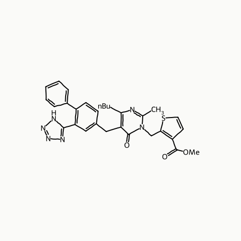 CCCCc1nc(C)n(Cc2sccc2C(=O)OC)c(=O)c1Cc1ccc(-c2ccccc2)c(-c2nnn[nH]2)c1